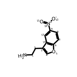 NCCc1coc2ccc([N+](=O)[O-])cc12